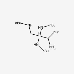 CCCCNC[PH](NCCCC)(NCCCC)C(N)CCC